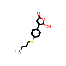 CCCCSc1ccc(C2=CC(=O)OC2O)cc1